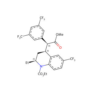 CCOC(=O)N1c2ccc(C(F)(F)F)cc2[C@H]([C@H](C(=O)OC)c2cc(C(F)(F)F)cc(C(F)(F)F)c2)C[C@@H]1CC